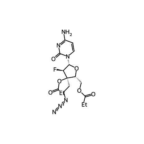 CCC(=O)OC[C@H]1O[C@@H](n2ccc(N)nc2=O)[C@H](F)[C@]1(CCN=[N+]=[N-])OC(=O)CC